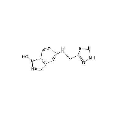 On1ncc2cc(NCc3nn[nH]n3)ccc21